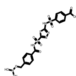 O=C(O)c1ccc(S(=O)(=O)Nc2nnc(S(=O)(=O)NC(=O)c3ccc(CON(O)O)cc3)s2)cc1